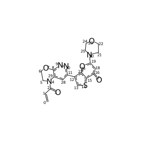 C=CC(=O)N1CCOc2nnc(-c3csc4c(=O)cc(N5CCOCC5)oc34)cc21